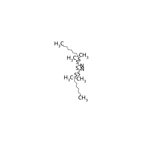 CCCCCCCC(C)(C)SSc1nnc(SSC(C)(C)CCCCCCC)s1